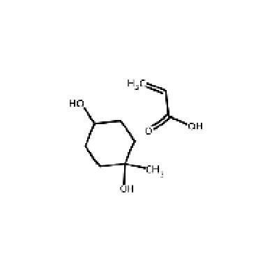 C=CC(=O)O.CC1(O)CCC(O)CC1